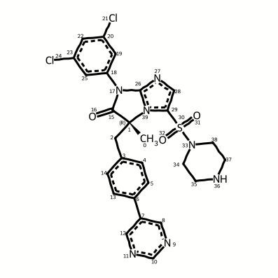 C[C@@]1(Cc2ccc(-c3cncnc3)cc2)C(=O)N(c2cc(Cl)cc(Cl)c2)c2ncc(S(=O)(=O)N3CCNCC3)n21